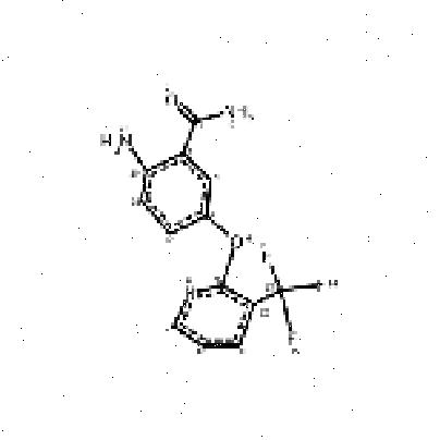 NC(=O)c1cc(Oc2ncccc2C(F)(F)F)ccc1N